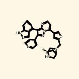 c1cc(-c2c(-c3ccncc3)nn3c(-c4coc(CN5C[C@@H]6CC5CN6)c4)ccnc23)c2cn[nH]c2c1